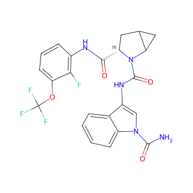 NC(=O)n1cc(NC(=O)N2C3CC3C[C@H]2C(=O)Nc2cccc(OC(F)(F)F)c2F)c2ccccc21